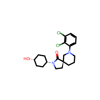 O=C1N([C@H]2CC[C@@H](O)CC2)CC[C@@]12CCCN(c1cccc(Cl)c1Cl)C2